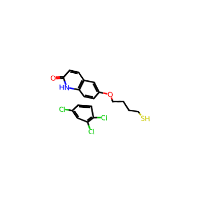 Clc1ccc(Cl)c(Cl)c1.O=c1ccc2cc(OCCCCS)ccc2[nH]1